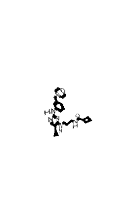 O=C(NCCCNc1nc(Nc2cccc(CN3CCOCC3)c2)ncc1C1CC1)C1CCC1